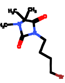 CN1C(=O)N(CCCCBr)C(=O)C1(C)C